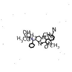 CN(c1c(C#N)c(=O)n(C)c2ccc(C#N)nc12)C1CCC(/C(=N/OC(C)(C)CO)c2ccccc2)CC1